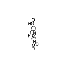 COCNC1CCc2nc(N3CCN(C(=O)OC(C)(C)C)CC3)c(F)cc2C1